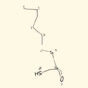 CCCCCSC(=O)S